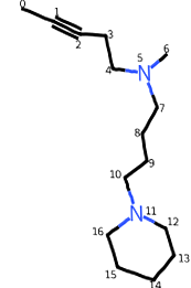 CC#CCCN(C)CCCCN1CCCCC1